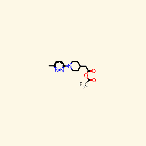 Cc1ccc(N2CCC(CC(=O)OC(=O)C(F)(F)F)CC2)nn1